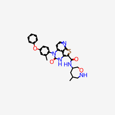 Cc1cc(Oc2ccccc2)ccc1N1C(=O)Nc2c(C(=O)NC3CONCC(C)C3)sc3nccc1c23